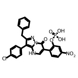 O=c1c(-c2ccc([N+](=O)[O-])cc2OP(=O)(O)O)c[nH]c2c(-c3ccc(Cl)cc3)c(Cc3ccccc3)nn12